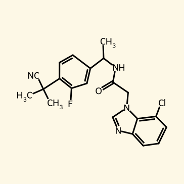 CC(NC(=O)Cn1cnc2cccc(Cl)c21)c1ccc(C(C)(C)C#N)c(F)c1